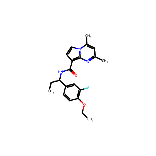 CCOc1ccc(C(CC)NC(=O)c2ccn3c(C)cc(C)nc23)cc1F